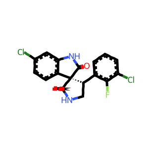 O=C1Nc2cc(Cl)ccc2[C@@]12C(c1cccc(Cl)c1F)CNC21CCCCC1